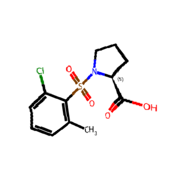 Cc1cccc(Cl)c1S(=O)(=O)N1CCC[C@H]1C(=O)O